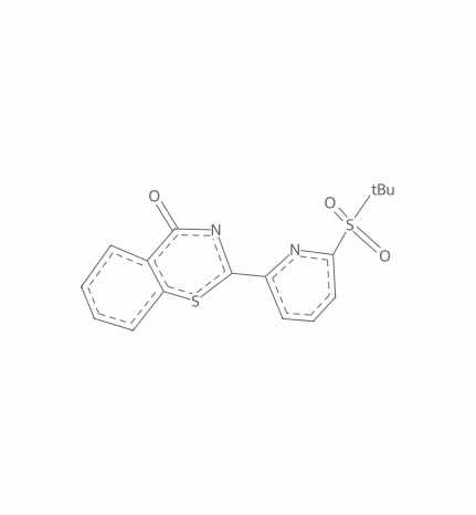 CC(C)(C)S(=O)(=O)c1cccc(-c2nc(=O)c3ccccc3s2)n1